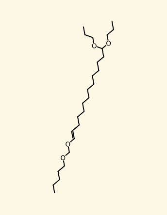 CCCCCOCOC=CCCCCCCCCCCCC(OCCC)OCCC